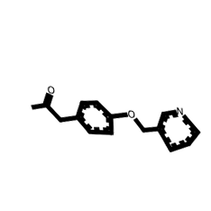 CC(=O)Cc1ccc(OCc2cccnc2)cc1